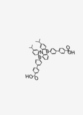 CC(C)c1ccc2c(c1)N1c3cc(C(C)C)ccc3B(c3ccc(-c4ccc(C(=O)O)cc4)cc3)c3cccc(c31)B2c1ccc(-c2ccc(C(=O)O)cc2)cc1